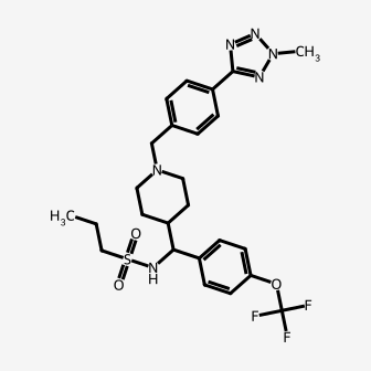 CCCS(=O)(=O)NC(c1ccc(OC(F)(F)F)cc1)C1CCN(Cc2ccc(-c3nnn(C)n3)cc2)CC1